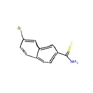 NC(=S)c1ccc2ccc(Br)cc2c1